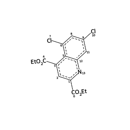 CCOC(=O)c1cc(C(=O)OCC)c2c(Cl)cc(Cl)cc2n1